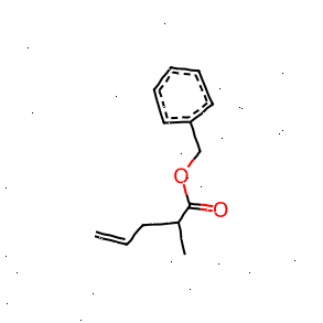 C=CCC(C)C(=O)OCc1ccccc1